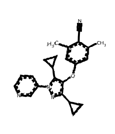 Cc1cc(Oc2c(C3CC3)nn(-c3cccnc3)c2C2CC2)cc(C)c1C#N